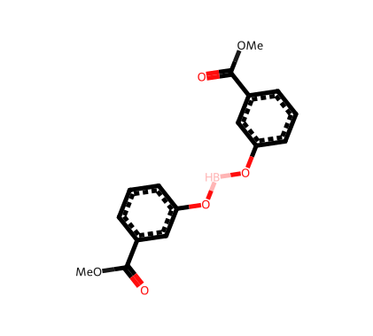 COC(=O)c1cccc(OBOc2cccc(C(=O)OC)c2)c1